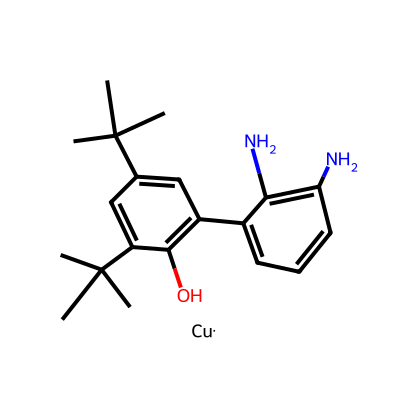 CC(C)(C)c1cc(-c2cccc(N)c2N)c(O)c(C(C)(C)C)c1.[Cu]